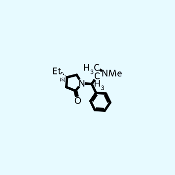 CC[C@H]1CC(=O)N(C(C)c2ccccc2)C1.CNC